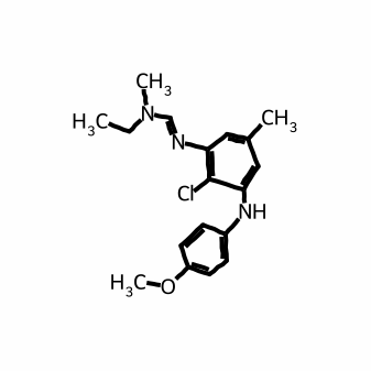 CCN(C)C=Nc1cc(C)cc(Nc2ccc(OC)cc2)c1Cl